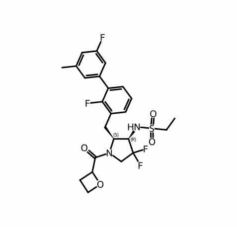 CCS(=O)(=O)N[C@@H]1[C@H](Cc2cccc(-c3cc(C)cc(F)c3)c2F)N(C(=O)C2CCO2)CC1(F)F